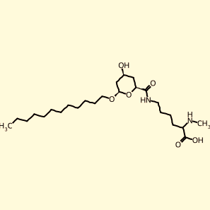 CCCCCCCCCCCCO[C@H]1C[C@@H](O)C[C@@H](C(=O)NCCCCC(NC)C(=O)O)O1